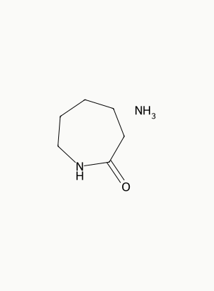 N.O=C1CCCCCN1